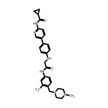 CN1CCN(Cc2ccc(NC(=O)CNc3ccc(-c4ccc(NC(=O)C5CC5)nc4)cc3)cc2C(F)(F)F)CC1